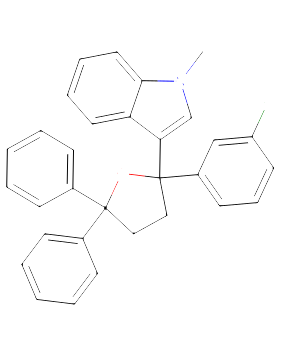 Cn1cc(C2(c3cccc(Cl)c3)CCC(c3ccccc3)(c3ccccc3)O2)c2ccccc21